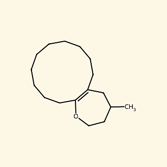 CC1CCOC2=C(CCCCCCCCCC2)C1